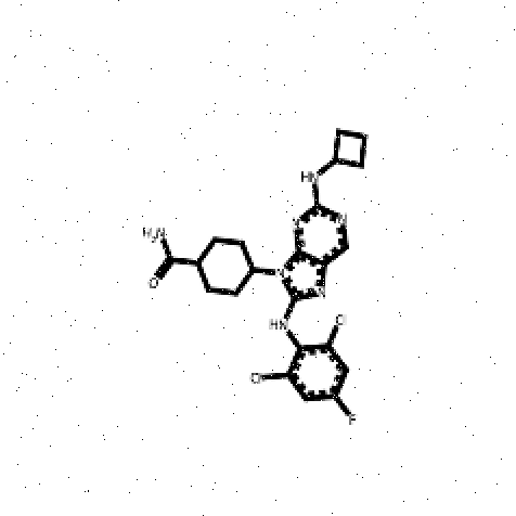 NC(=O)C1CCC(n2c(Nc3c(Cl)cc(F)cc3Cl)nc3cnc(NC4CCC4)nc32)CC1